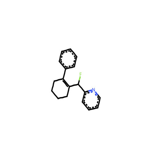 FC(C1=C(c2ccccc2)CCCC1)c1ccccn1